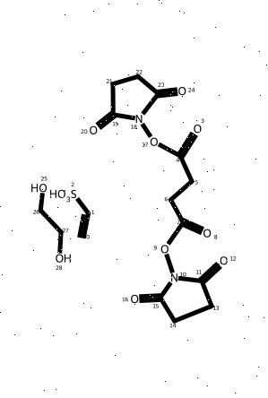 C=CS(=O)(=O)O.O=C(CCC(=O)ON1C(=O)CCC1=O)ON1C(=O)CCC1=O.OCCO